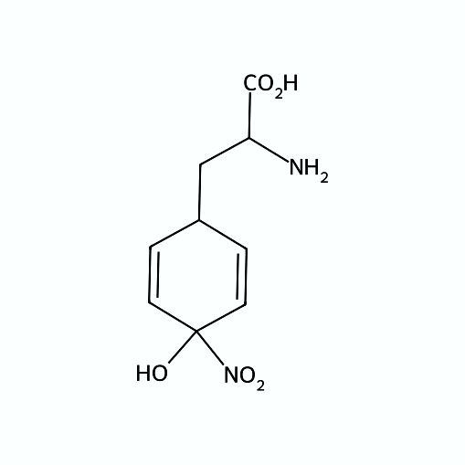 NC(CC1C=CC(O)([N+](=O)[O-])C=C1)C(=O)O